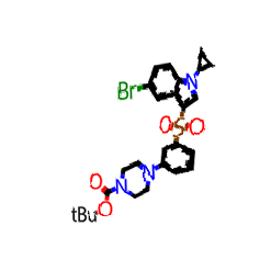 CC(C)(C)OC(=O)N1CCN(c2cccc(S(=O)(=O)c3cn(C4CC4)c4ccc(Br)cc34)c2)CC1